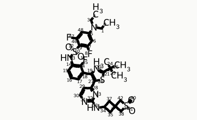 CCN(CC)c1cc(F)c(S(=O)(=O)Nc2cccc(-c3nc(C(C)(C)C)sc3-c3ccnc(NC4CC5(C4)CS(=O)(=O)C5)n3)c2F)c(F)c1